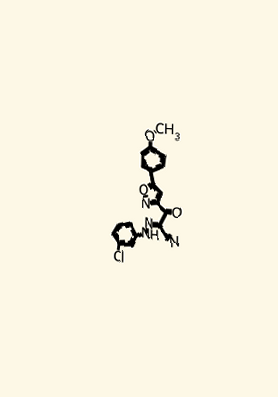 COc1ccc(-c2cc(C(=O)C(C#N)=NNc3cccc(Cl)c3)no2)cc1